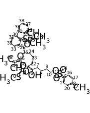 CSCOC1(C(O)CCCCOS(=O)(=O)c2ccc(C)cc2)CCCC(CO[Si](c2ccccc2)(c2ccccc2)C(C)(C)C)OC(C(C)C)O1